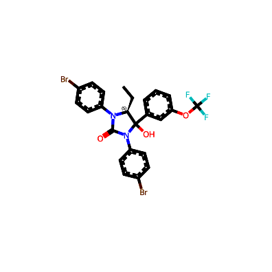 CC[C@@H]1N(c2ccc(Br)cc2)C(=O)N(c2ccc(Br)cc2)C1(O)c1cccc(OC(F)(F)F)c1